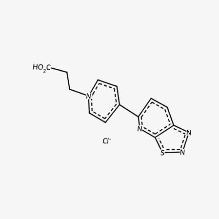 O=C(O)CC[n+]1ccc(-c2ccc3nnsc3n2)cc1.[Cl-]